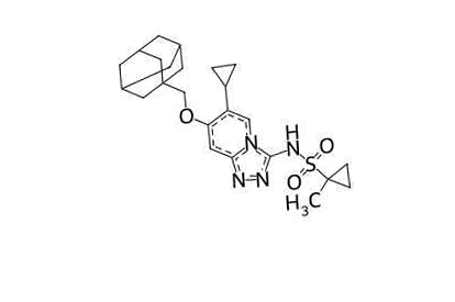 CC1(S(=O)(=O)Nc2nnc3cc(OCC45CC6CC(CC(C6)C4)C5)c(C4CC4)cn23)CC1